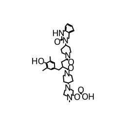 Cc1cc(CC(CC(=O)N2CCC(N3Cc4ccccc4NC3=O)CC2)C(=O)N2CCC(N3CCN(C)C(OC(=O)O)C3)CC2)cc(C)c1O